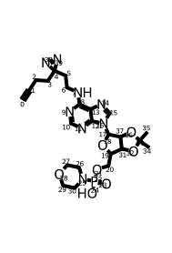 C#CCCC1(CCNc2ncnc3c2ncn3C2OC(COP(=O)(O)N3CCOCC3)C3OC(C)(C)OC32)N=N1